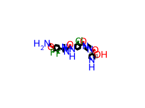 Cn1c(-c2ccc(OCN)c(F)c2F)cnc1C(=O)Nc1ccc(C(=O)N2CCN(C(=O)[C@@H]3CCNC[C@H]3O)CC2)c(Cl)c1